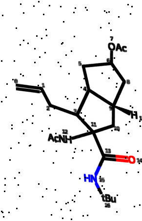 C=CCC1C2CC(OC(C)=O)C[C@@H]2CC1(NC(C)=O)C(=O)NC(C)(C)C